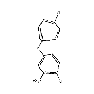 O=S(=O)(O)c1cc(Sc2ccc(Cl)cc2)ccc1Cl